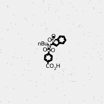 CCCCN(C1=Cc2ccccc2S1(=O)=O)S(=O)(=O)c1ccc(C(=O)O)cc1